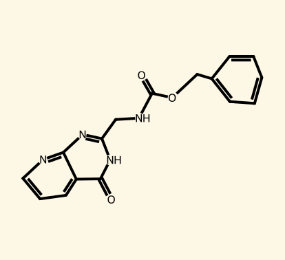 O=C(NCc1nc2ncccc2c(=O)[nH]1)OCc1ccccc1